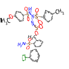 COc1ccc(S(=O)(=O)NN(N=S(=O)=O)S(=O)(=O)c2ccc(C)cc2)cc1.Cc1ccccc1S(N)(=O)=O.Clc1ccccc1